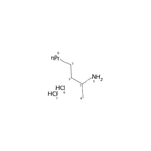 CCCCCC(C)N.Cl.Cl